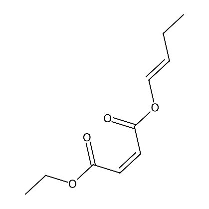 CC/C=C/OC(=O)/C=C\C(=O)OCC